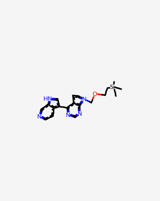 C[Si](C)(C)CCOCn1ccc2c(-c3c[nH]c4cnccc34)ncnc21